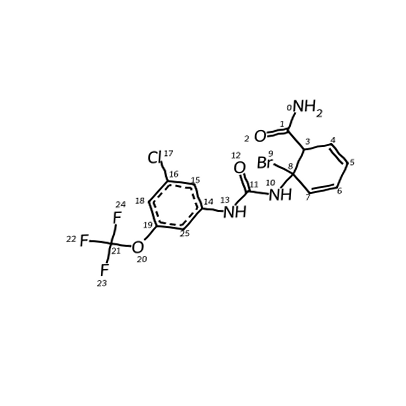 NC(=O)C1C=CC=CC1(Br)NC(=O)Nc1cc(Cl)cc(OC(F)(F)F)c1